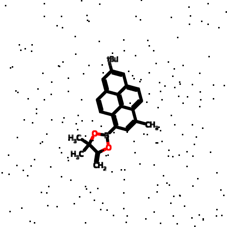 C=C1OB(c2cc(C)c3ccc4cc(C(C)(C)C)cc5ccc2c3c45)OC1(C)C